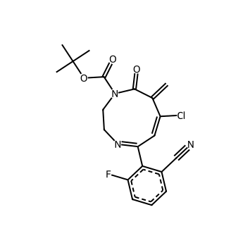 C=C1C(=O)N(C(=O)OC(C)(C)C)CC/N=C(c2c(F)cccc2C#N)\C=C/1Cl